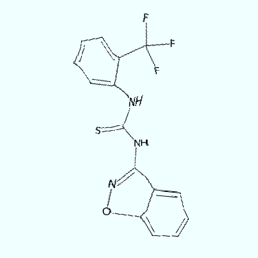 FC(F)(F)c1ccccc1NC(=S)Nc1noc2ccccc12